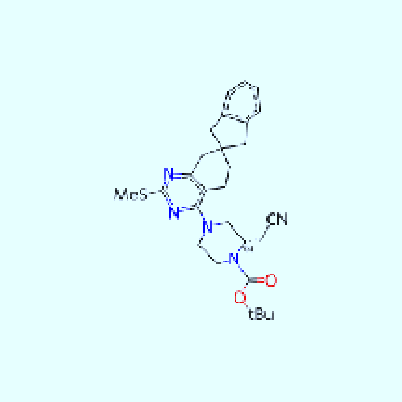 CSc1nc2c(c(N3CCN(C(=O)OC(C)(C)C)[C@@H](CC#N)C3)n1)CCC1(Cc3ccccc3C1)C2